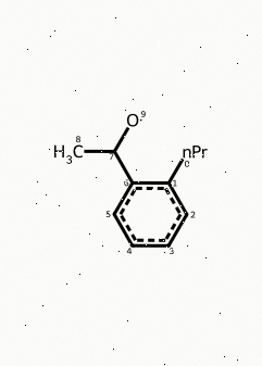 CCCc1ccccc1C(C)[O]